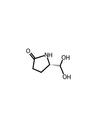 O=C1CC[C@@H](C(O)O)N1